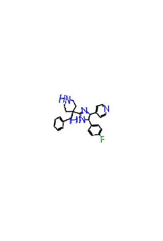 Fc1ccc(C2NC(C3(Cc4ccccc4)CCNCC3)=NC2c2ccncc2)cc1